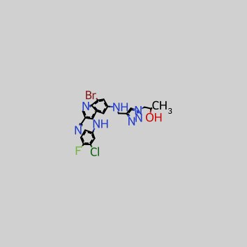 CC(O)Cn1cc(CNc2cc(Br)c3ncc(C#N)c(Nc4ccc(F)c(Cl)c4)c3c2)nn1